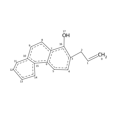 C=CCc1ccc2c(ccc3ccccc32)c1O